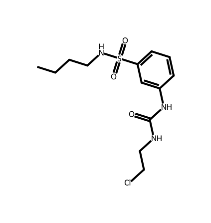 CCCCNS(=O)(=O)c1cccc(NC(=O)NCCCl)c1